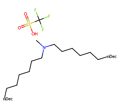 CCCCCCCCCCCCCCCCN(C)CCCCCCCCCCCCCCCC.O=S(=O)(O)C(F)(F)F